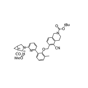 COC[C@H]1N(c2cccc(-c3cccc(C)c3OCc3ccc4c(c3C#N)CCN(C(=O)OC(C)(C)C)C4)n2)CC2C[C@@]21C(=O)O